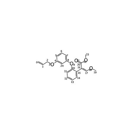 C=CCOc1cccc(Oc2ccccc2/C(=C/OC)C(=O)OC)c1